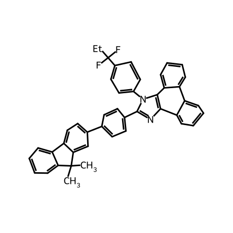 CCC(F)(F)c1ccc(-n2c(-c3ccc(-c4ccc5c(c4)C(C)(C)c4ccccc4-5)cc3)nc3c4ccccc4c4ccccc4c32)cc1